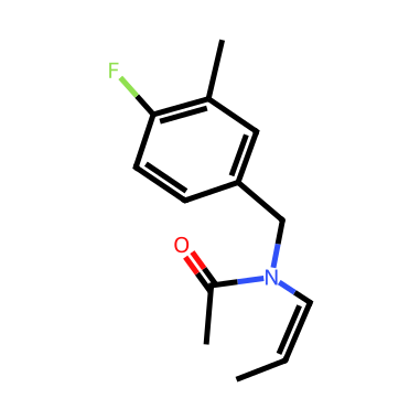 C/C=C\N(Cc1ccc(F)c(C)c1)C(C)=O